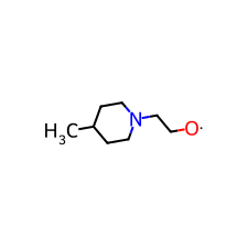 CC1CCN(CC[O])CC1